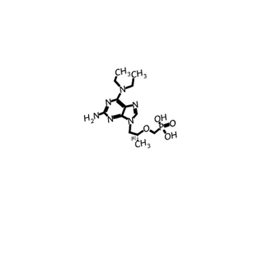 CCN(CC)c1nc(N)nc2c1ncn2C[C@@H](C)OCP(=O)(O)O